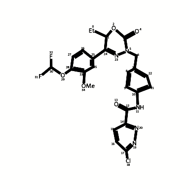 CCC1OC(=O)N(Cc2ccc(NC(=O)c3ccc(Cl)nn3)cc2)N=C1c1ccc(OC(F)F)c(OC)c1